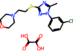 Cc1nc(SCCN2CCOCC2)nn1-c1cccc(Cl)c1.O=C(O)C(=O)O